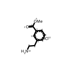 COC(=O)c1cccc(CCN)c1.Cl